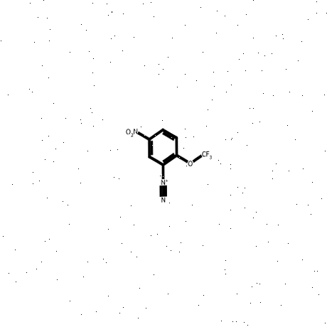 N#[N+]c1cc([N+](=O)[O-])ccc1OC(F)(F)F